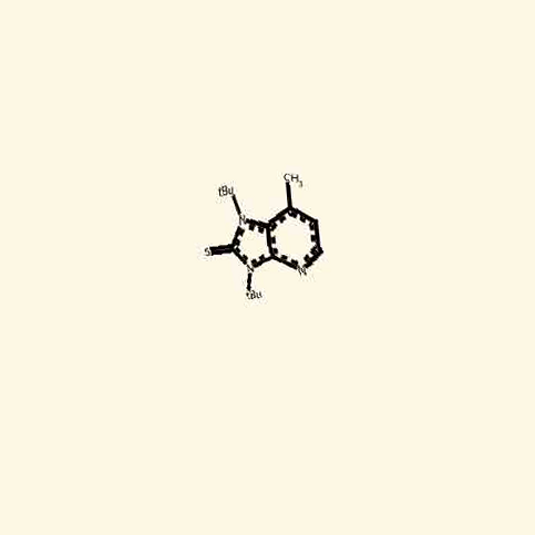 Cc1ccnc2c1n(C(C)(C)C)c(=S)n2C(C)(C)C